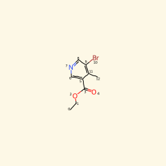 CCOC(=O)c1cncc(Br)c1C